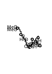 COc1ccc(CCCc2cccc(OCCNC(=O)CCCOC(=O)N3CCCN([C@H](C(=O)NC(CCC(Cc4ccccc4)NC(=O)COc4c(C)cccc4C)Cc4ccccc4)C(C)C)C3=O)c2)cc1OC